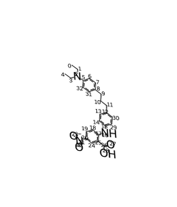 CCN(CC)c1ccc(CCCc2ccc(Nc3ccc([N+](=O)[O-])cc3C(=O)O)cc2)cc1